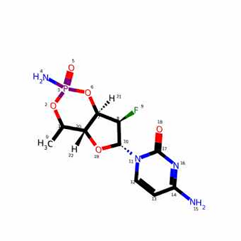 CC1OP(N)(=O)O[C@H]2[C@@H](F)[C@H](n3ccc(N)nc3=O)O[C@H]12